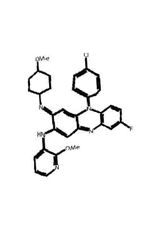 COc1ncccc1Nc1cc2nc3cc(F)ccc3n(-c3ccc(Cl)cc3)c-2c/c1=N\C1CCC(OC)CC1